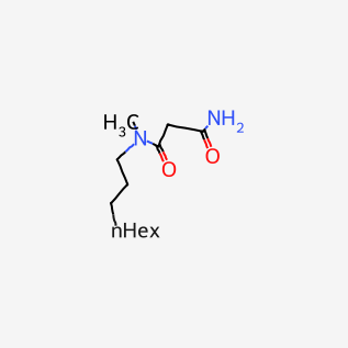 CCCCCCCCCN(C)C(=O)CC(N)=O